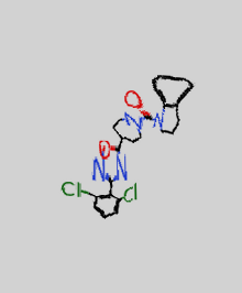 O=C(N1CCC(c2nc(-c3c(Cl)cccc3Cl)no2)CC1)N1CCCc2ccccc21